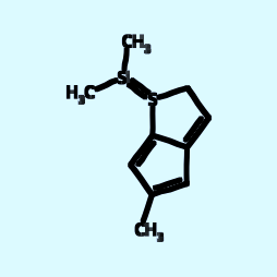 CC1=CC2=CCS(=[Si](C)C)C2=C1